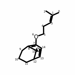 CC(C)=CCCOC1=C2CCCC(C=C1)C2=O